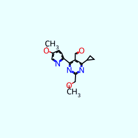 COCc1nc(-c2ccc(OC)cn2)c(C=O)c(C2CC2)n1